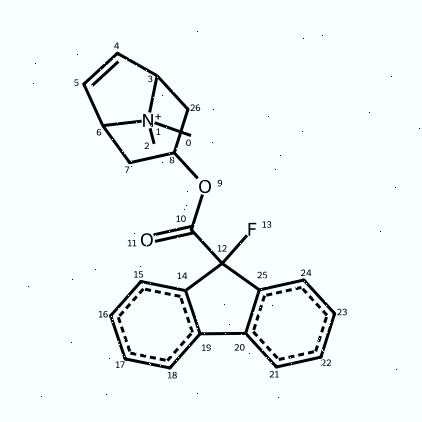 C[N+]1(C)C2C=CC1CC(OC(=O)C1(F)c3ccccc3-c3ccccc31)C2